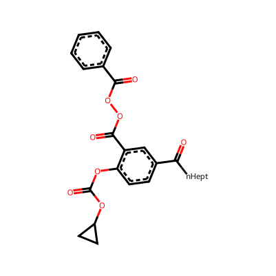 CCCCCCCC(=O)c1ccc(OC(=O)OC2CC2)c(C(=O)OOC(=O)c2ccccc2)c1